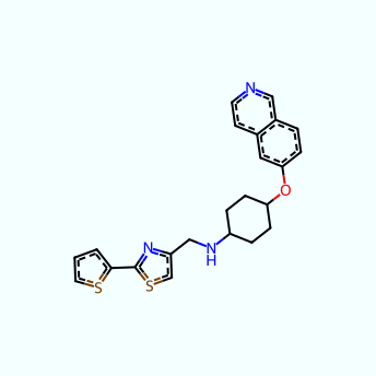 c1csc(-c2nc(CNC3CCC(Oc4ccc5cnccc5c4)CC3)cs2)c1